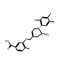 N[C@H]1CC(COc2cc(C(=O)O)ccc2F)=CC[C@@H]1c1cc(F)c(F)cc1F